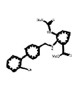 CNC(=S)Nc1cccc(C(=O)OC)c1NCc1ccc(-c2ccccc2C#N)cc1